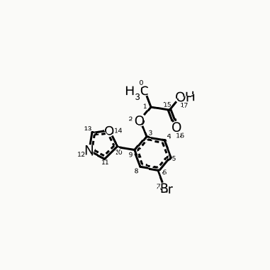 CC(Oc1ccc(Br)cc1-c1cnco1)C(=O)O